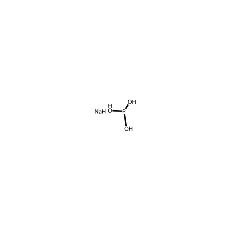 OP(O)O.[NaH]